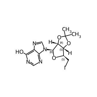 CC1(C)O[C@@H]2[C@H](O1)[C@@H](CI)O[C@H]2n1cnc2c(O)ncnc21